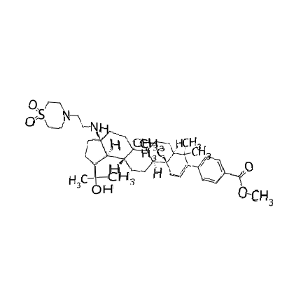 COC(=O)c1ccc(C2=CC[C@]3(C)[C@H]4CC[C@@H]5[C@H]6C(C(C)(C)O)CC[C@]6(NCCN6CCS(=O)(=O)CC6)CC[C@@]5(C)[C@]4(C)CC[C@H]3C2(C)C)cc1